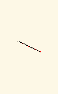 [CH]=CC=CC=CC=CC=CC=CC=CC=CC=CC=CC=CC=CCCCCC